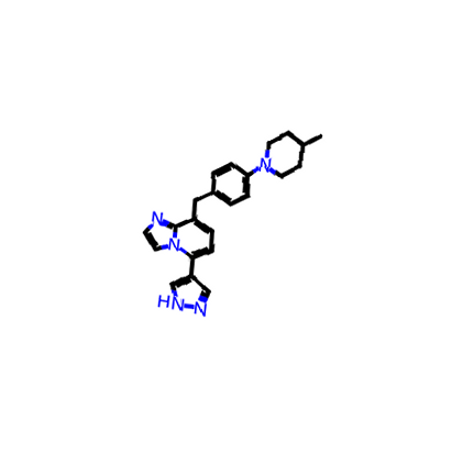 CC1CCN(c2ccc(Cc3ccc(-c4cn[nH]c4)n4ccnc34)cc2)CC1